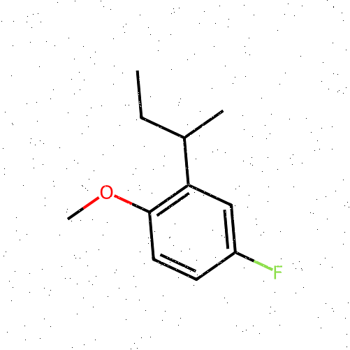 CCC(C)c1cc(F)ccc1OC